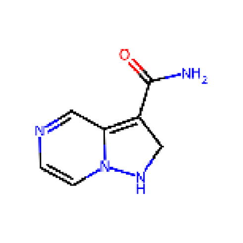 NC(=O)C1=C2C=NC=CN2NC1